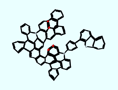 c1ccc(-c2ccccc2-c2ccc(N(c3ccc(-c4cccc5cc(-c6ccccc6N(c6ccc(-c7cccc8c7sc7ccccc78)cc6)c6ccccc6-c6ccc7ccccc7c6)c6ccccc6c45)cc3-c3ccc4ccccc4c3)c3ccccc3-c3cc4ccccc4c4ccccc34)cc2)cc1